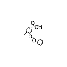 Cc1ccc(C(=O)O)cc1OCOc1ccccc1